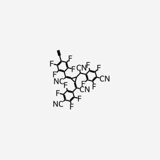 C#Cc1c(F)c(F)c(/C(C#N)=C2/C(=C(/C#N)c3c(F)c(F)c(C#N)c(F)c3F)C2C(C#N)c2c(F)c(F)c(C#N)c(F)c2F)c(F)c1F